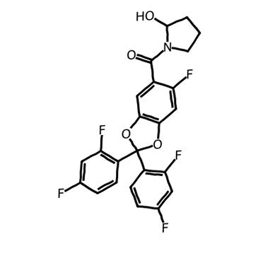 O=C(c1cc2c(cc1F)OC(c1ccc(F)cc1F)(c1ccc(F)cc1F)O2)N1CCCC1O